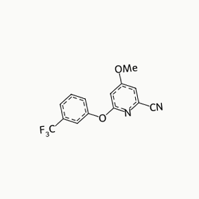 COc1cc(C#N)nc(Oc2cccc(C(F)(F)F)c2)c1